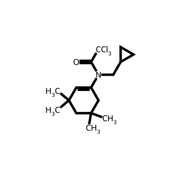 CC1(C)C=C(N(CC2CC2)C(=O)C(Cl)(Cl)Cl)CC(C)(C)C1